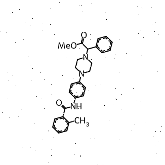 COC(=O)C(c1ccccc1)N1CCN(c2ccc(NC(=O)c3ccccc3C)cc2)CC1